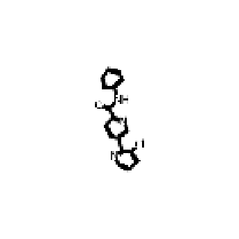 O=C(Nc1ccccc1)c1ccc(-c2ncccc2Cl)cn1